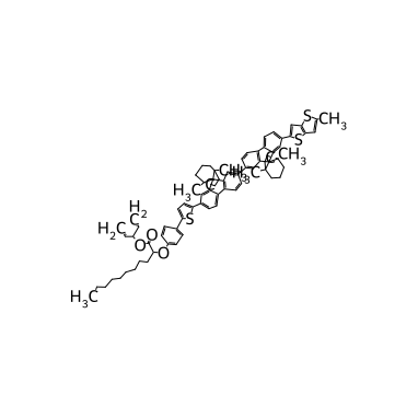 C=CC(C=C)OC(=O)C(CCCCCCCCC)Oc1ccc(-c2ccc(-c3ccc4c(c3)C3(c5cc(-c6ccc7c(c6)C6(c8cc(-c9cc%10sc(C)cc%10s9)ccc8-7)C7(C)CCCC6(C)CCC7)ccc5-4)C4(C)CCCC3(C)CCC4)s2)cc1